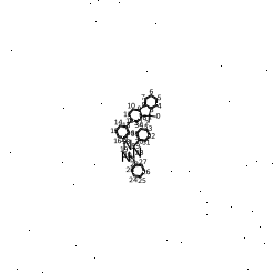 CC1(C)c2ccccc2-c2ccc(-c3cccc(N4CN=C(c5ccccc5)N=C4c4ccccc4)c3)cc21